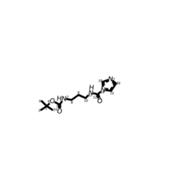 CC(C)(C)OC(=O)NCCCNC(=O)n1ccnc1